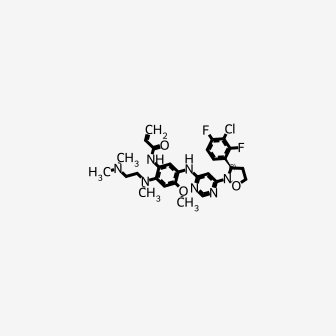 C=CC(=O)Nc1cc(Nc2cc(N3OCC[C@@H]3c3ccc(F)c(Cl)c3F)ncn2)c(OC)cc1N(C)CCN(C)C